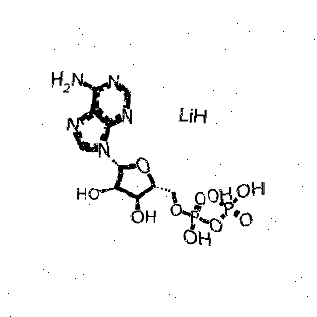 Nc1ncnc2c1ncn2[C@@H]1O[C@H](COP(=O)(O)OP(=O)(O)O)[C@@H](O)[C@H]1O.[LiH]